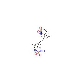 CC(C)(C)C1(C(C)(C)CCC(C)(C)C2(C(C)(C)C)CNS(=O)(=O)N2)CCS(=O)(=O)N1